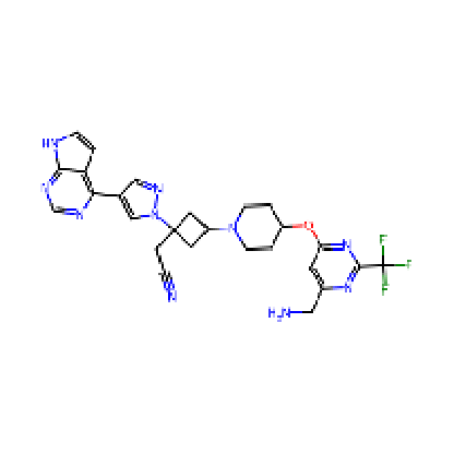 N#CCC1(n2cc(-c3ncnc4[nH]ccc34)cn2)CC(N2CCC(Oc3cc(CN)nc(C(F)(F)F)n3)CC2)C1